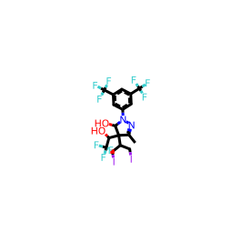 CC1=NN(c2cc(C(F)(F)F)cc(C(F)(F)F)c2)C(O)C1(C(CI)CI)C(O)C(F)(F)F